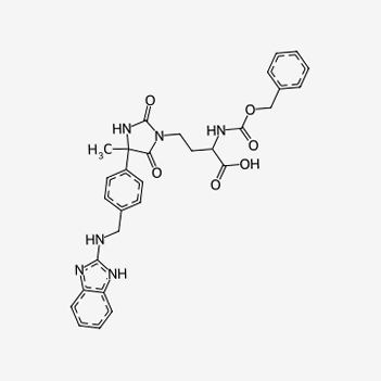 CC1(c2ccc(CNc3nc4ccccc4[nH]3)cc2)NC(=O)N(CCC(NC(=O)OCc2ccccc2)C(=O)O)C1=O